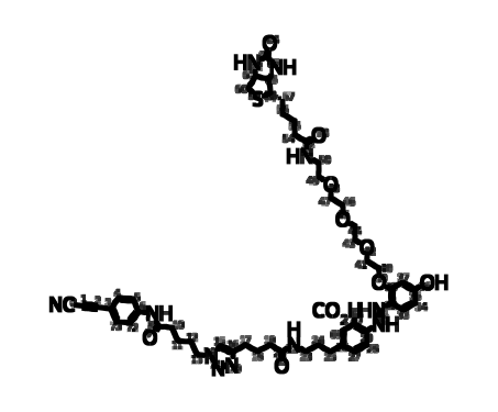 N#CC#Cc1ccc(NC(=O)CCCCn2cc(CCCC(=O)NCCCc3ccc(NNc4ccc(O)cc4OCCOCCOCCOCCNC(=O)CCCC[C@@H]4SCC5NC(=O)NC54)c(C(=O)O)c3)nn2)cc1